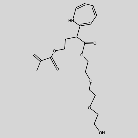 C=C(C)C(=O)OCCC(C(=O)OCCOCCOCCO)C1=CC=CC=CN1